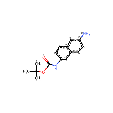 CC(C)(C)OC(=O)Nc1ccc2cc(N)ccc2c1